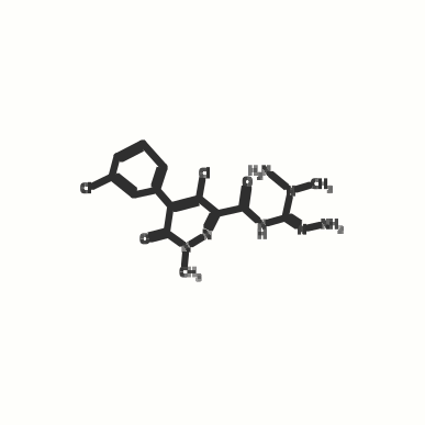 CN(N)/C(=N\N)NC(=O)c1nn(C)c(=O)c(-c2cccc(Cl)c2)c1Cl